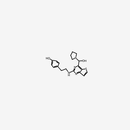 Oc1ccc(CCNc2nc(C(O)N3CCCC3)c3sccc3n2)cc1